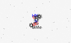 COc1ccccc1OCC(=O)N1CCC2(CC1)C(=O)Nc1ccccc12